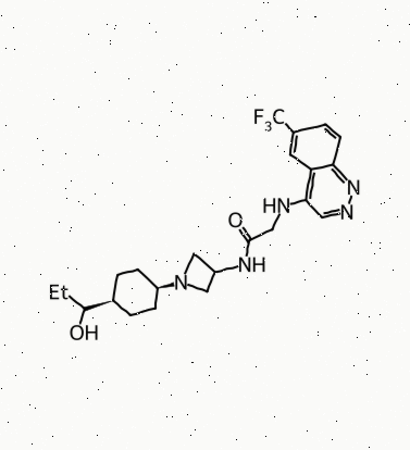 CCC(O)[C@H]1CC[C@@H](N2CC(NC(=O)CNc3cnnc4ccc(C(F)(F)F)cc34)C2)CC1